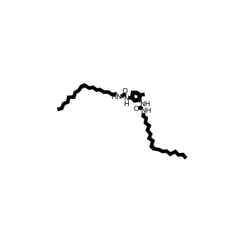 CCCCCCCC/C=C\CCCCCCCCNC(=O)Nc1ccc(C)c(NC(=O)NCCCCCCCC/C=C\CCCCCCCC)c1